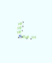 F.F.F.F.F.F.[N]